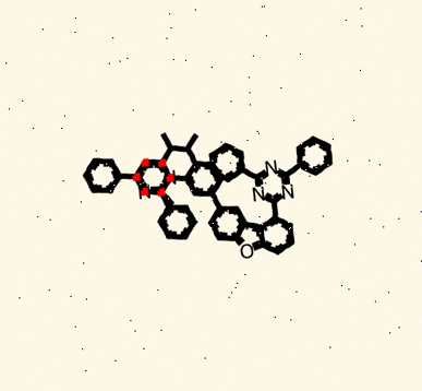 Cc1ccccc1-c1cc(-c2ccc3oc4cccc(-c5nc(-c6ccccc6)nc(-c6ccccc6)n5)c4c3c2)ccc1C(C)C(C)c1cc(-c2ccccc2)nc(-c2ccccc2)n1